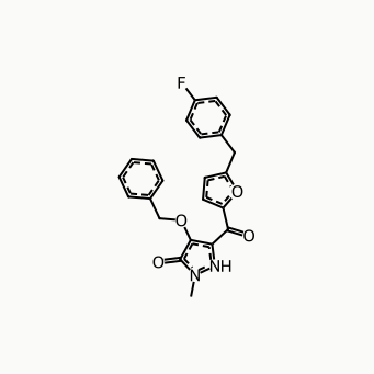 Cn1[nH]c(C(=O)c2ccc(Cc3ccc(F)cc3)o2)c(OCc2ccccc2)c1=O